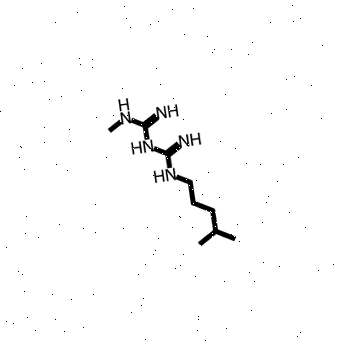 CNC(=N)NC(=N)NCCCC(C)C